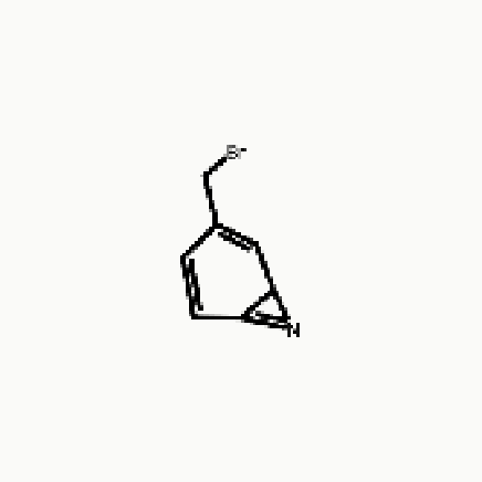 BrCC1=CC2N=C2C=C1